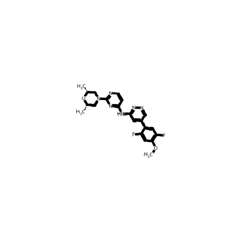 COc1cc(F)c(-c2cnnc(Nc3ccnc(N4C[C@@H](C)O[C@@H](C)C4)n3)c2)cc1F